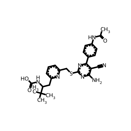 CC(=O)Nc1ccc(-c2nc(SCc3cccc(CC(NC(=O)O)C(C)(C)C)n3)nc(N)c2C#N)cc1